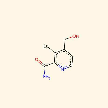 CCc1c(CO)ccnc1C(N)=O